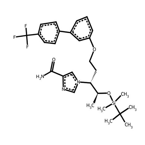 C[C@H](O[Si](C)(C)C(C)(C)C)[C@@H](CCOc1cccc(-c2ccc(C(F)(F)F)cc2)c1)n1cnc(C(N)=O)c1